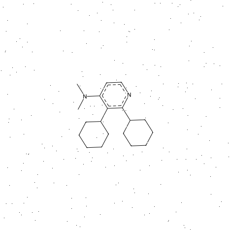 CN(C)c1ccnc(C2CCCCC2)c1C1CCCCC1